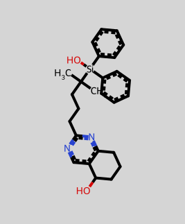 CC(C)(CCCc1ncc2c(n1)CCCC2O)[Si](O)(c1ccccc1)c1ccccc1